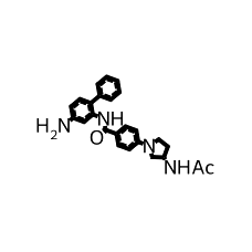 CC(=O)NC1CCN(c2ccc(C(=O)Nc3cc(N)ccc3-c3ccccc3)cc2)C1